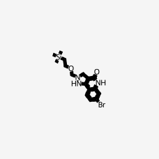 C[Si](C)(C)CCOCN1Cc2c(c3ccc(Br)cc3[nH]c2=O)N1